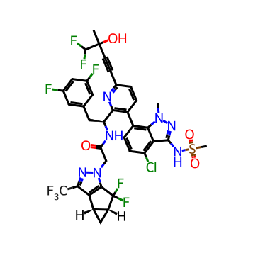 Cn1nc(NS(C)(=O)=O)c2c(Cl)ccc(-c3ccc(C#CC(C)(O)C(F)F)nc3[C@H](Cc3cc(F)cc(F)c3)NC(=O)Cn3nc(C(F)(F)F)c4c3C(F)(F)[C@@H]3C[C@H]43)c21